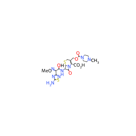 CO/N=C(/C(=O)NC1C(=O)N2C(C(=O)O)=C(COC(=O)N3CCN(C)CC3)CS[C@H]12)c1nsc(N)n1